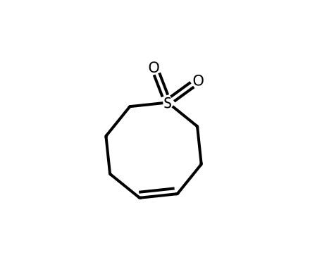 O=S1(=O)CC/C=C\CCC1